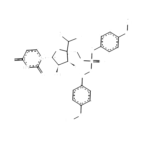 COc1ccc(OSP(=O)(OC[C@@]2(C(F)F)O[C@@H](n3ccc(=O)[nH]c3=O)[C@H](O)[C@@H]2F)Oc2ccc(OC)cc2)cc1